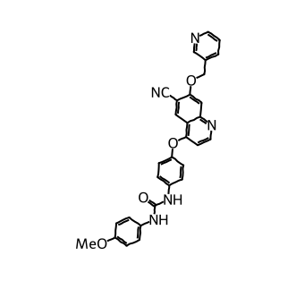 COc1ccc(NC(=O)Nc2ccc(Oc3ccnc4cc(OCc5cccnc5)c(C#N)cc34)cc2)cc1